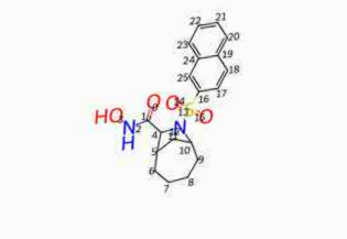 O=C(NO)C1C2CCCCC(C2)N1S(=O)(=O)c1ccc2ccccc2c1